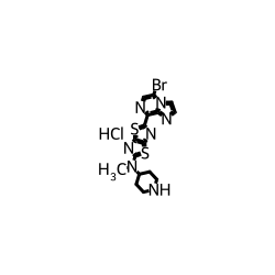 CN(c1nc2sc(-c3ncc(Br)n4ccnc34)nc2s1)C1CCNCC1.Cl